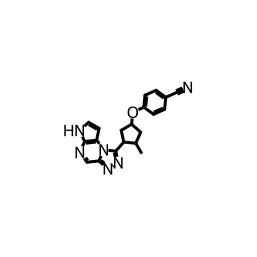 CC1CC(Oc2ccc(C#N)cc2)CC1c1nnc2cnc3[nH]ccc3n12